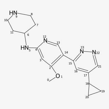 COc1cc(NC2CCNCC2)ncc1-c1cc(C2CC2)cnn1